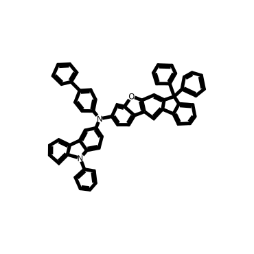 c1ccc(-c2ccc(N(c3ccc4c(c3)oc3cc5c(cc34)-c3ccccc3C5(c3ccccc3)c3ccccc3)c3ccc4c(c3)c3ccccc3n4-c3ccccc3)cc2)cc1